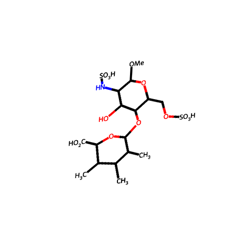 COC1OC(COS(=O)(=O)O)C(OC2OC(C(=O)O)C(C)C(C)C2C)C(O)C1NS(=O)(=O)O